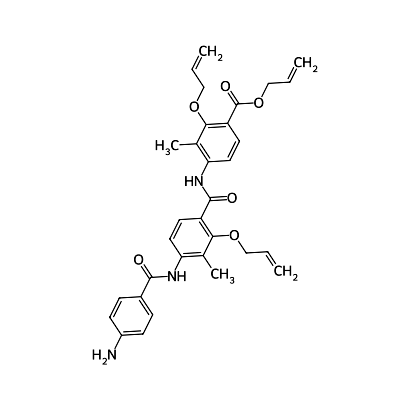 C=CCOC(=O)c1ccc(NC(=O)c2ccc(NC(=O)c3ccc(N)cc3)c(C)c2OCC=C)c(C)c1OCC=C